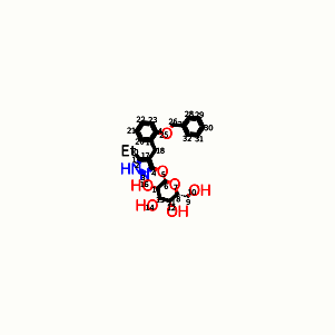 CCc1[nH]nc(O[C@@H]2O[C@H](CO)[C@@H](O)[C@H](O)[C@H]2O)c1Cc1ccccc1OCc1ccccc1